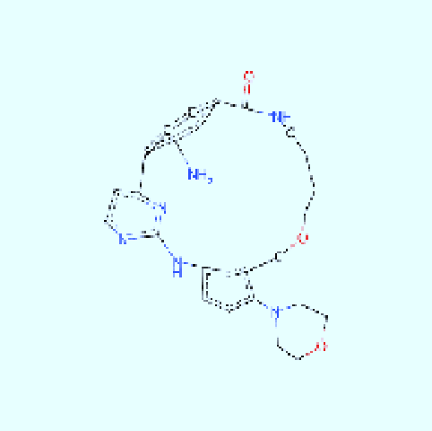 Nc1cc2ccc1-c1ccnc(n1)Nc1ccc(N3CCOCC3)c(c1)COCCCCNC2=O